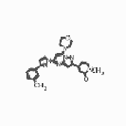 Cc1cccc(-c2ccn(-c3cc(N4CCOCC4)n4nc(C5=CC(=O)N(C)CC5)cc4n3)n2)c1